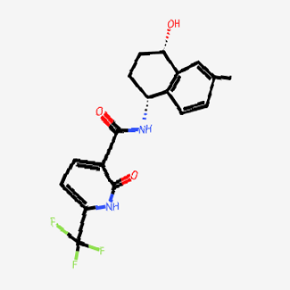 Cc1ccc2c(c1)[C@@H](O)CC[C@H]2NC(=O)c1ccc(C(F)(F)F)[nH]c1=O